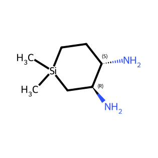 C[Si]1(C)CC[C@H](N)[C@@H](N)C1